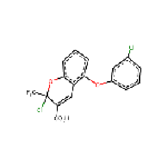 O=C(O)C1=Cc2c(Oc3cccc(Cl)c3)cccc2OC1(Cl)C(F)(F)F